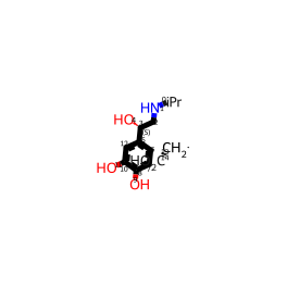 CC(C)NC[C@@H](O)c1ccc(O)c(O)c1.[CH2]C(=O)O